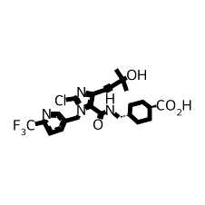 CC(C)(O)C#Cc1nc(Cl)n(Cc2ccc(C(F)(F)F)nc2)c1C(=O)NC[C@H]1CC[C@H](C(=O)O)CC1